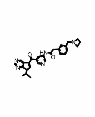 CC(C)C1C=C(C(=O)c2cncc(NC(=O)Cc3cccc(CN4CCC4)c3)c2)c2cncnc21